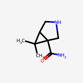 CC1(C)C2CNCC21C(N)=O